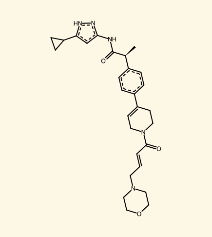 C[C@H](C(=O)Nc1cc(C2CC2)[nH]n1)c1ccc(C2=CCN(C(=O)/C=C/CN3CCOCC3)CC2)cc1